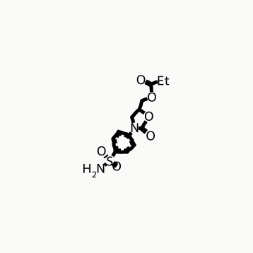 CCC(=O)OCC1CN(c2ccc(S(N)(=O)=O)cc2)C(=O)O1